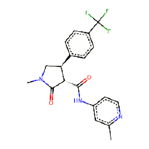 Cc1cc(NC(=O)[C@@H]2C(=O)N(C)C[C@H]2c2ccc(C(F)(F)F)cc2)ccn1